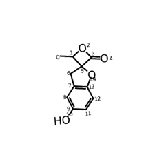 CC1OC(=O)C12Cc1cc(O)ccc1O2